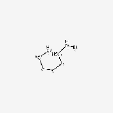 CCN[SiH]1CCCO[SiH2]1